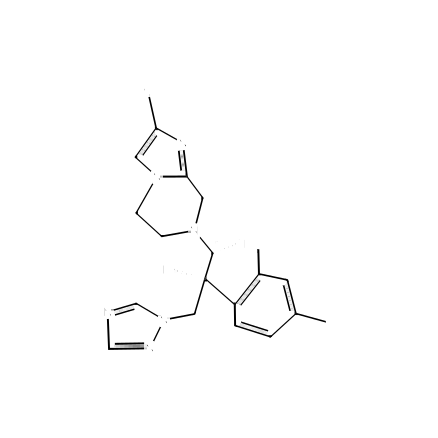 C[C@@H](N1CCn2cc(C(F)(F)F)nc2C1)[C@](O)(Cn1cncn1)c1ccc(F)cc1F